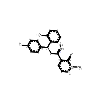 Cc1ccccc1[C@@H](C/C(=N\O)c1ccnn(C)c1=O)c1ccc(Br)cc1